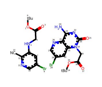 CC(C)(C)OC(=O)CNc1cc(Br)cnc1C#N.CC(C)(C)OC(=O)Cn1c(=O)nc(N)c2ncc(Br)cc21